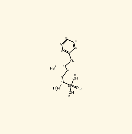 Br.N[C@H](CCCOc1ccccc1)P(=O)(O)O